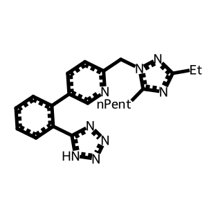 CCCCCc1nc(CC)nn1Cc1ccc(-c2ccccc2-c2nnn[nH]2)cn1